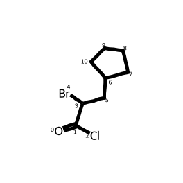 O=C(Cl)C(Br)CC1CCCC1